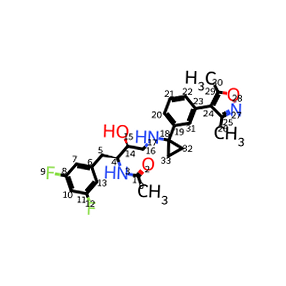 CC(=O)N[C@@H](Cc1cc(F)cc(F)c1)[C@@H](O)CNC1(c2cccc(-c3c(C)noc3C)c2)CC1